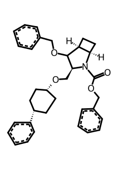 O=C(OCc1ccccc1)N1[C@@H]2CC[C@@H]2C(OCc2ccccc2)[C@@H]1CO[C@H]1CC[C@@H](c2ccccc2)CC1